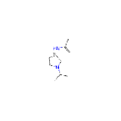 C=C(C)N[C@H]1CCN(C(C)C)C1